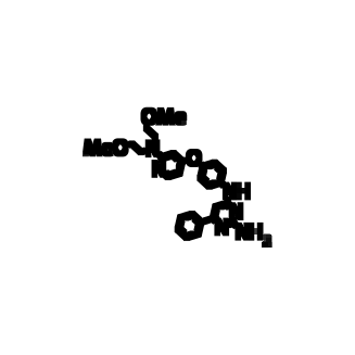 COCCN(CCOC)c1cc(Oc2ccc(Nc3cc(-c4ccccc4)nc(N)n3)cc2)ccn1